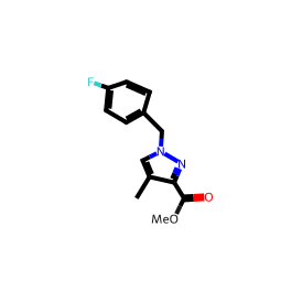 COC(=O)c1nn(Cc2ccc(F)cc2)cc1C